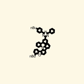 CCCCc1ccc(-c2nc(-c3ccccc3)nc(-c3cccc(-c4ccccc4-n4c5ccccc5c5ccc6oc7c(CCCC)cccc7c6c54)c3)n2)cc1